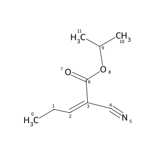 CCC=C(C#N)C(=O)OC(C)C